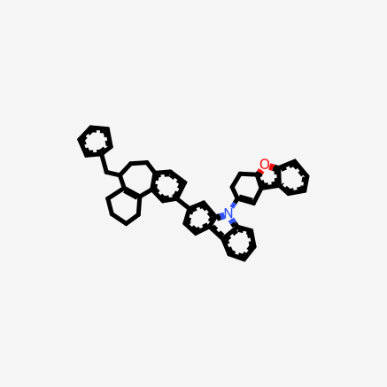 C1=C(n2c3ccccc3c3ccc(-c4ccc5c(c4)C4=C(CCCC4)C(Cc4ccccc4)CC5)cc32)CCc2oc3ccccc3c21